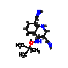 CC(C)(C)ONc1c(C#N)cnc2c(C#N)cccc12